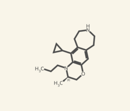 CCCN1c2c(cc3c(c2C2CC2)CCNCC3)OC[C@H]1C